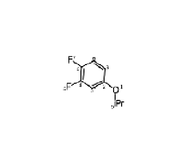 CC(C)Oc1[c]c(F)c(F)cc1